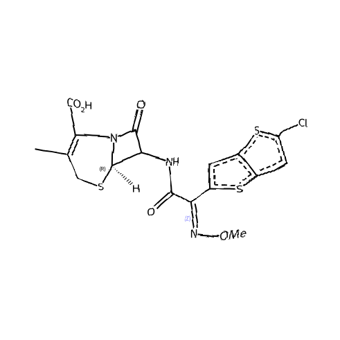 CO/N=C(/C(=O)NC1C(=O)N2C(C(=O)O)=C(C)CS[C@H]12)c1cc2sc(Cl)cc2s1